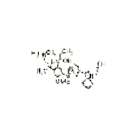 C#CCn1cc(-c2ccnc(Nc3cc(NC(O)C=C)c(N(C)CCN(C)C)cc3OC)n2)c2ccccc21